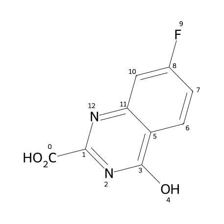 O=C(O)c1nc(O)c2ccc(F)cc2n1